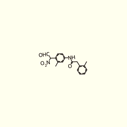 Cc1ccccc1CC(=O)Nc1ccc(C(C=O)[N+](=O)[O-])c(C)c1